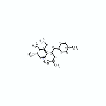 CC/C=C\C(=C(CC)CC)C(CC(C)C)CC1CCN(C)CC1